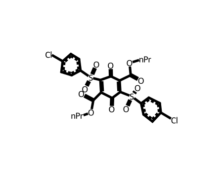 CCCOC(=O)C1=C(S(=O)(=O)c2ccc(Cl)cc2)C(=O)C(C(=O)OCCC)=C(S(=O)(=O)c2ccc(Cl)cc2)C1=O